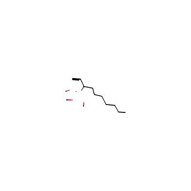 C=C[CH](CCCCCCC)[Ti]([O]C)([O]C)[O]C